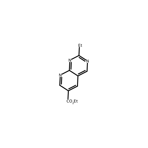 CCOC(=O)c1cnc2nc(CC)ncc2c1